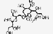 C[C@H](O)C(CO[C@]1(C(=O)O)C[C@@H](O)[C@@H](N)C([C@H](O)[C@H](O)CO)O1)O[C@H](O)[C@@H](O)CO